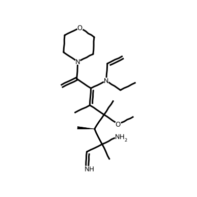 C=CN(CC)/C(C(=C)N1CCOCC1)=C(/C)C(C)(OC)[C@H](C)C(C)(N)C=N